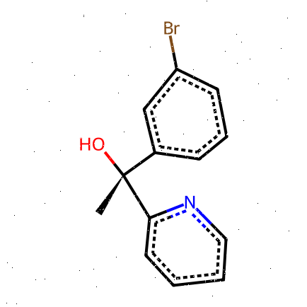 C[C@@](O)(c1cccc(Br)c1)c1ccccn1